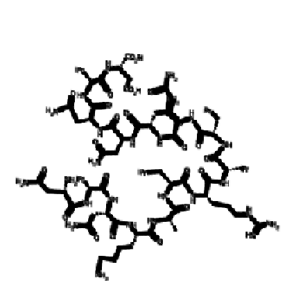 CC(C)C[C@H](NC(=O)[C@H](C)NC(=O)[C@H](CCCCN)NC(=O)[C@H](CC(N)=O)NC(=O)[C@@H](NC(=O)[C@@H](N)CC(N)=O)C(C)C)C(=O)N[C@@H](CCCNC(=N)N)C(=O)N[C@H](C(=O)N[C@@H](CC(C)C)C(=O)N[C@@H](CCC(N)=O)C(=O)N[C@@H](CC(N)=O)C(=O)N[C@@H](CC(N)=O)C(=O)N[C@@H](CC(N)=O)C(=O)N[C@H](C(=O)N[C@@H](CC(=O)O)C(=O)O)C(C)C)C(C)C